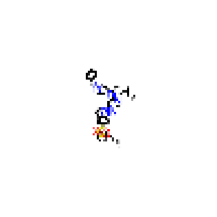 CN(c1cc(N2CCc3cc(S(C)(=O)=O)ccc32)ncn1)C1CCN(Cc2ccccc2)CC1